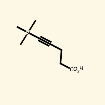 C[Si](C)(C)C#CCCC(=O)O